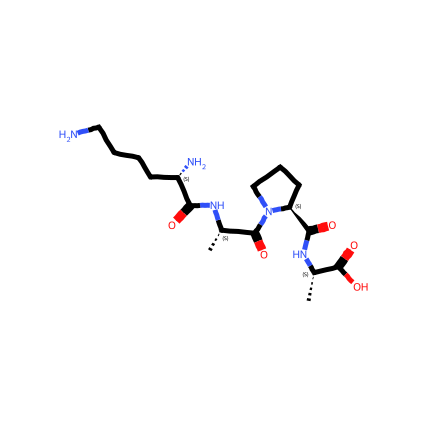 C[C@H](NC(=O)[C@@H]1CCCN1C(=O)[C@H](C)NC(=O)[C@@H](N)CCCCN)C(=O)O